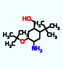 CC(C)(C)OC1CC(CO)C(C(C)(C)C)CC1N